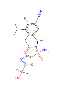 CC(C)c1cc(C#N)c(F)c(C(C)C)c1CC(=O)N=S(N)(=O)c1cnc(C(C)(C)O)s1